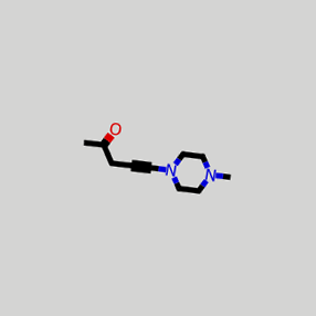 CC(=O)CC#CN1CCN(C)CC1